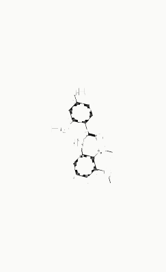 COc1cccc(NC(=O)c2ccc(O)cc2O)c1OC